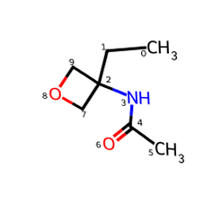 CCC1(NC(C)=O)COC1